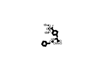 COC(=O)[C@H](Cc1ccc(C(F)P(=O)(OC(C)(C)C)OC(C)(C)C)cc1)NC(=O)OCc1ccccc1